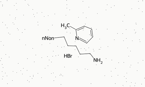 Br.CCCCCCCCCCCCCCN.Cc1ccccn1